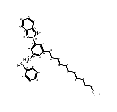 CCCCCCCCCCCCc1cc(C)cc(-n2nc3ccccc3n2)c1.Oc1ccccc1